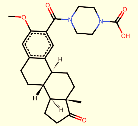 COc1cc2c(cc1C(=O)N1CCN(C(=O)O)CC1)[C@H]1CC[C@]3(C)C(=O)CC[C@H]3[C@@H]1CC2